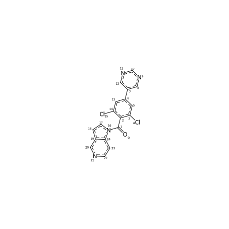 O=C(c1c(Cl)cc(-c2cncnc2)cc1Cl)n1ccc2cnccc21